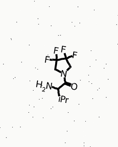 CC(C)C(N)C(=O)N1CC(F)(F)C(F)(F)C1